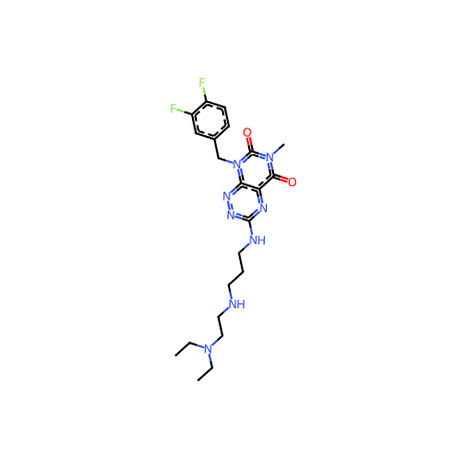 CCN(CC)CCNCCCNc1nnc2c(n1)c(=O)n(C)c(=O)n2Cc1ccc(F)c(F)c1